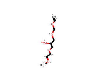 C=COCOCC(O)COCCOC